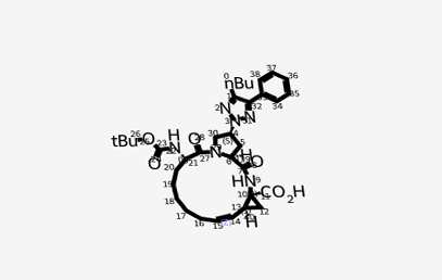 CCCCc1nn([C@H]2C[C@H]3C(=O)N[C@]4(C(=O)O)C[C@H]4/C=C\CCCCC[C@H](NC(=O)OC(C)(C)C)C(=O)N3C2)nc1-c1ccccc1